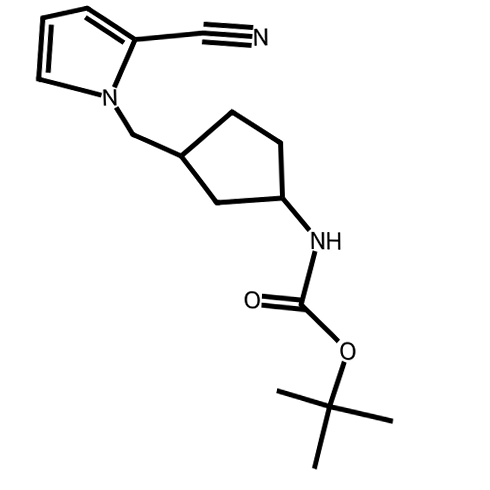 CC(C)(C)OC(=O)NC1CCC(Cn2cccc2C#N)C1